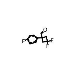 O=CC1(c2ccc(F)cc2)CC(F)(F)C1